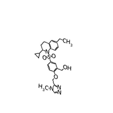 CCc1ccc2c(c1)CCC(C1CC1)N2S(=O)(=O)c1ccc(OCc2nncn2C)c(CO)c1